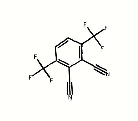 N#Cc1c(C(F)(F)F)ccc(C(F)(F)F)c1C#N